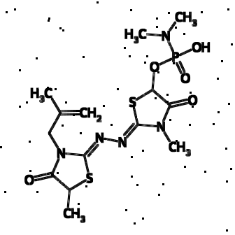 C=C(C)CN1C(=O)C(C)SC1=NN=C1SC(OP(=O)(O)N(C)C)C(=O)N1C